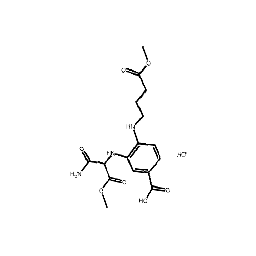 COC(=O)CCCNc1ccc(C(=O)O)cc1NC(C(N)=O)C(=O)OC.Cl